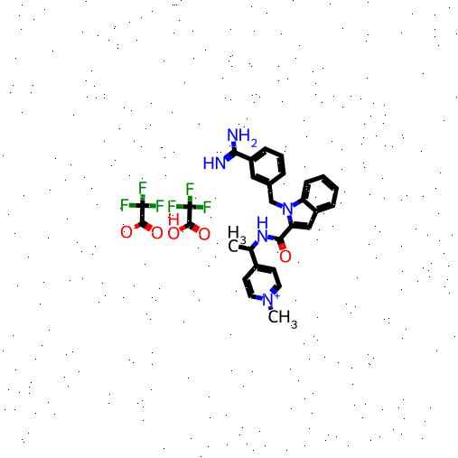 CC(NC(=O)c1cc2ccccc2n1Cc1cccc(C(=N)N)c1)c1cc[n+](C)cc1.O=C(O)C(F)(F)F.O=C([O-])C(F)(F)F